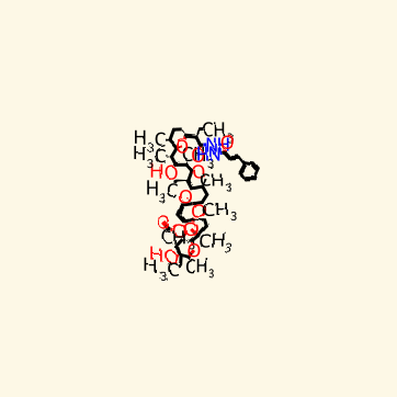 CC[C@@H](C(=O)[C@@H](C)[C@@H](O)[C@H](C)[C@@H]1O[C@@H]([C@@H](CC)C(=O)NNC(=O)/C=C/c2ccccc2)CC[C@@H]1C)[C@H]1O[C@]2(C=C[C@@H](OC(C)=O)[C@]3(CC[C@@](C)([C@H]4CC[C@](O)(CC)[C@H](C)O4)O3)O2)[C@H](C)C[C@@H]1C